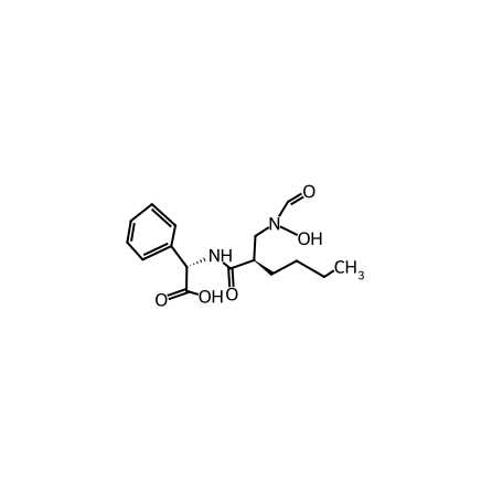 CCCC[C@H](CN(O)C=O)C(=O)N[C@H](C(=O)O)c1ccccc1